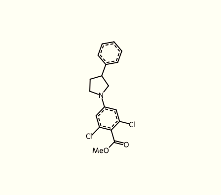 COC(=O)c1c(Cl)cc(N2CCC(c3ccccc3)C2)cc1Cl